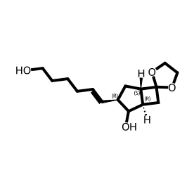 OCCCCC=C[C@H]1C[C@H]2[C@@H](CC23OCCO3)C1O